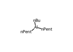 CCCC[CH2][Al]([CH2]CCC)[CH2]CCCC